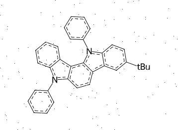 CC(C)(C)c1ccc2c(c1)c1ccc3c(c4ccccc4n3-c3ccccc3)c1n2-c1ccccc1